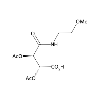 COCCNC(=O)[C@H](OC(C)=O)[C@@H](OC(C)=O)C(=O)O